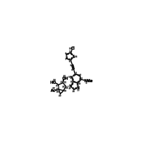 CNc1cc(C#Cc2ccc(Cl)s2)nc2c1ncn2[C@@H]1C2C[C@]2(C(C)=O)C(O)[C@H]1O